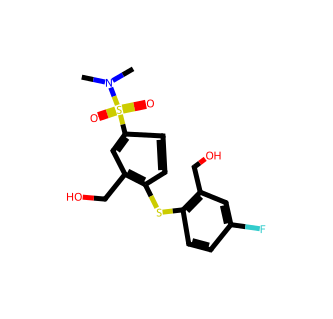 CN(C)S(=O)(=O)c1ccc(Sc2ccc(F)cc2CO)c(CO)c1